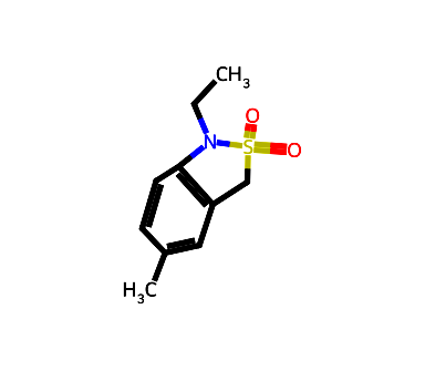 CCN1c2ccc(C)cc2CS1(=O)=O